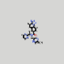 Cc1cc2cc(C(=O)N(Cc3cnc(C#N)cn3)[C@H](C)c3ncccn3)ccc2nc1N